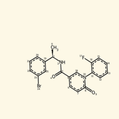 C[C@@H](NC(=O)c1ccc(=O)n(-c2ccccc2F)c1)c1cccc(Br)c1